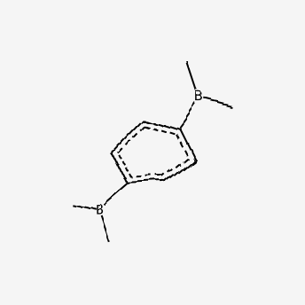 CB(C)c1ccc(B(C)C)cc1